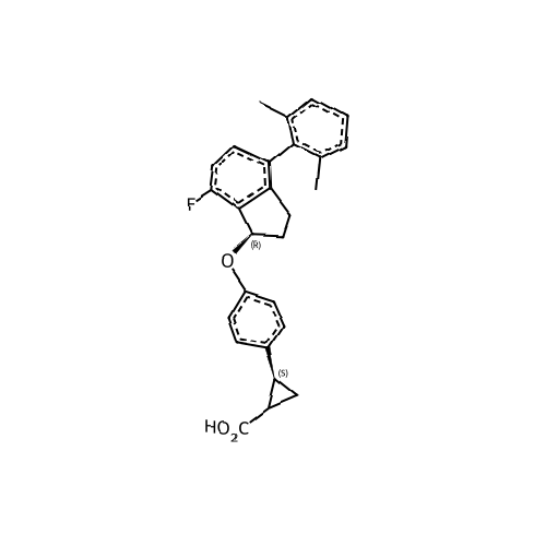 Cc1cccc(C)c1-c1ccc(F)c2c1CC[C@H]2Oc1ccc([C@H]2CC2C(=O)O)cc1